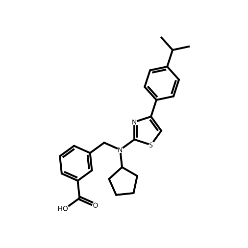 CC(C)c1ccc(-c2csc(N(Cc3cccc(C(=O)O)c3)C3CCCC3)n2)cc1